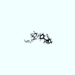 O=C(O)N[C@H]1COCC[C@@H]1COc1ccc(-c2ncc(F)cc2F)cc1